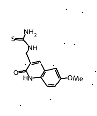 COc1ccc2[nH]c(=O)c(CNC(N)=S)cc2c1